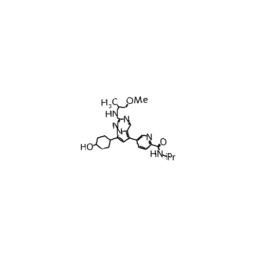 COCC(C)Nc1ncc2c(-c3ccc(C(=O)NC(C)C)nc3)cc(C3CCC(O)CC3)n2n1